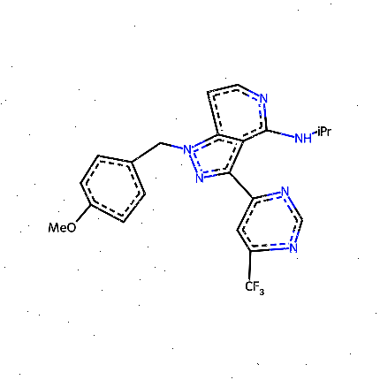 COc1ccc(Cn2nc(-c3cc(C(F)(F)F)ncn3)c3c(NC(C)C)nccc32)cc1